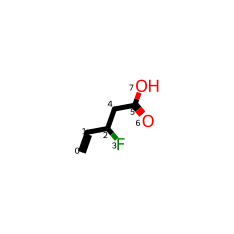 C=CC(F)CC(=O)O